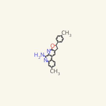 Cc1ccc(C2Cc3cc4c(nc3O2)c(N)nc2cc(C)ccc24)cc1